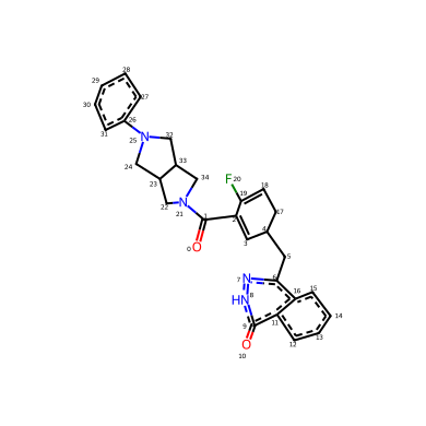 O=C(C1=CC(Cc2n[nH]c(=O)c3ccccc23)CC=C1F)N1CC2CN(c3ccccc3)CC2C1